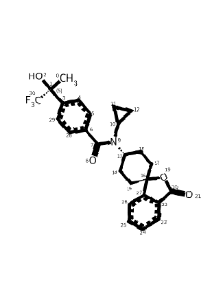 C[C@](O)(c1ccc(C(=O)N(C2CC2)[C@H]2CC[C@@]3(CC2)OC(=O)c2ccccc23)cc1)C(F)(F)F